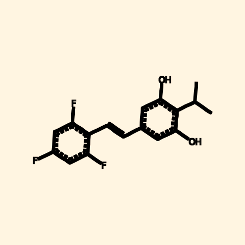 CC(C)c1c(O)cc(/C=C/c2c(F)cc(F)cc2F)cc1O